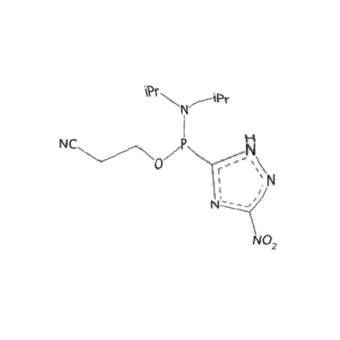 CC(C)N(C(C)C)P(OCCC#N)c1nc([N+](=O)[O-])n[nH]1